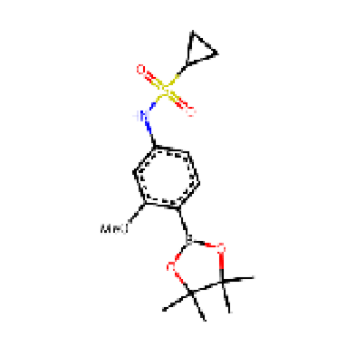 COc1cc(NS(=O)(=O)C2CC2)ccc1B1OC(C)(C)C(C)(C)O1